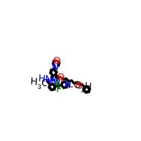 C[C@@H](Nc1nnc(OCCCCCCOCc2ccccc2)c2cc(N3CCOCC3)ccc12)c1cccc(C(F)(F)C2CCN(C(=O)O)CC2)c1